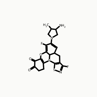 CC1CN(C2=CC3Cc4c(F)nsc4N4C5=C(OC(=C2F)C34)C(=O)C(=O)CC5)CC1N